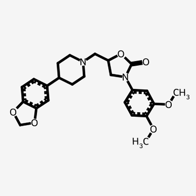 COc1ccc(N2CC(CN3CCC(c4ccc5c(c4)OCO5)CC3)OC2=O)cc1OC